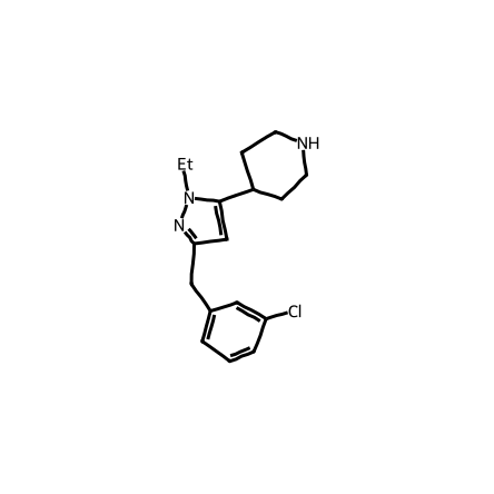 CCn1nc(Cc2cccc(Cl)c2)cc1C1CCNCC1